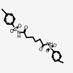 Cc1ccc(S(=O)(=O)NC(=O)CCCCC(=O)NS(=O)(=O)c2ccc(C)cc2)cc1